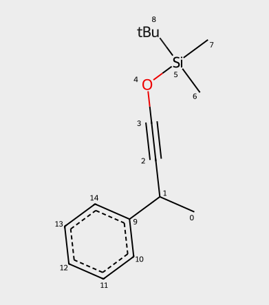 CC(C#CO[Si](C)(C)C(C)(C)C)c1ccccc1